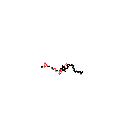 CCOP(=O)(O)OCCOCCOCCOP(=O)(O)Oc1c(C)c(C)c2c(c1C)CC[C@@](C)(CCC[C@H](C)CCC[C@H](C)CCCC(C)C)O2